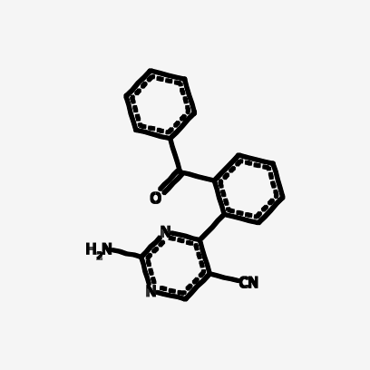 N#Cc1cnc(N)nc1-c1ccccc1C(=O)c1ccccc1